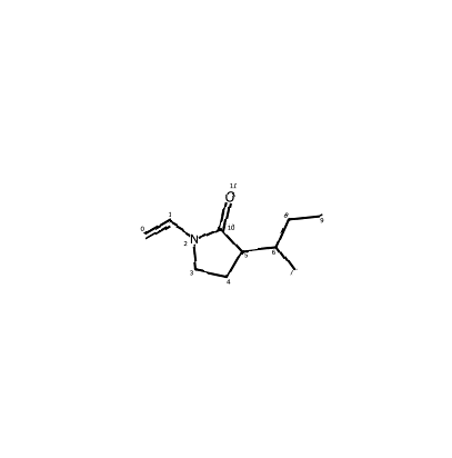 C=CN1CCC(C(C)CC)C1=O